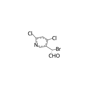 O=C[C@@H](Br)c1cnc(Cl)cc1Cl